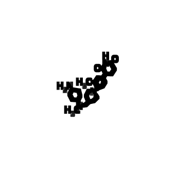 Cc1cc(C2CCC(=O)NC2=O)ccc1N1CCC(CN(C)C2CCC(N)CC2)CC1